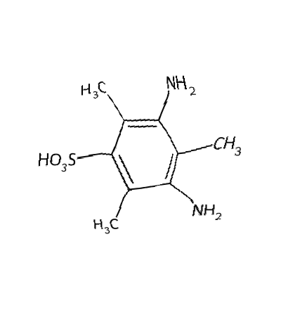 Cc1c(N)c(C)c(S(=O)(=O)O)c(C)c1N